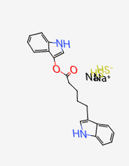 O=C(CCCCc1c[nH]c2ccccc12)Oc1c[nH]c2ccccc12.[Na+].[Na+].[SH-].[SH-]